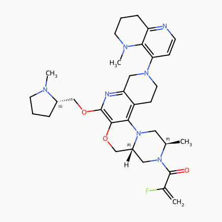 C=C(F)C(=O)N1C[C@@H]2COc3c(OC[C@@H]4CCCN4C)nc4c(c3N2C[C@H]1C)CCN(c1ccnc2c1N(C)CCC2)C4